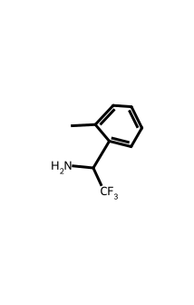 Cc1ccccc1C(N)C(F)(F)F